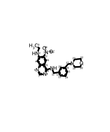 CCNc1cc2ncnc(NCc3cccc(CN4CCOCC4)c3)c2cc1[N+](=O)[O-]